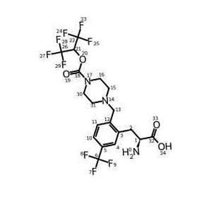 N[C@@H](Cc1cc(C(F)(F)F)ccc1CN1CCN(C(=O)OC(C(F)(F)F)C(F)(F)F)CC1)C(=O)O